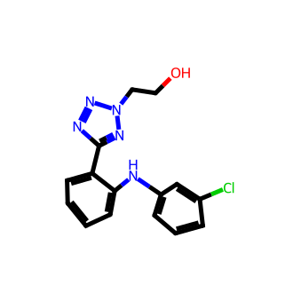 OCCn1nnc(-c2ccccc2Nc2cccc(Cl)c2)n1